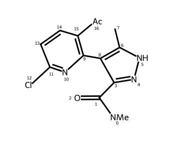 CNC(=O)c1n[nH]c(C)c1-c1nc(Cl)ccc1C(C)=O